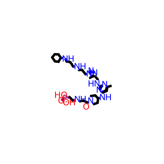 Cc1cc(NC2CCN(C(=O)CCNCCP(=O)(O)O)CC2)nc(NCc2cn(CCCNCCCNC3CCCCC3)nn2)n1